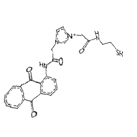 O=C(C[n+]1ccn(CC(=O)Nc2cccc3c2C(=O)c2ccccc2C3=O)c1)NCCS